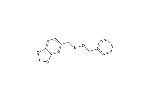 C(=NOCc1ccccc1)c1ccc2c(c1)OCO2